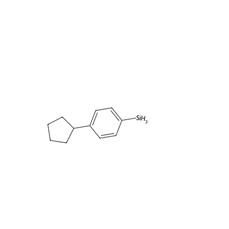 [SiH3]c1ccc(C2CCCC2)cc1